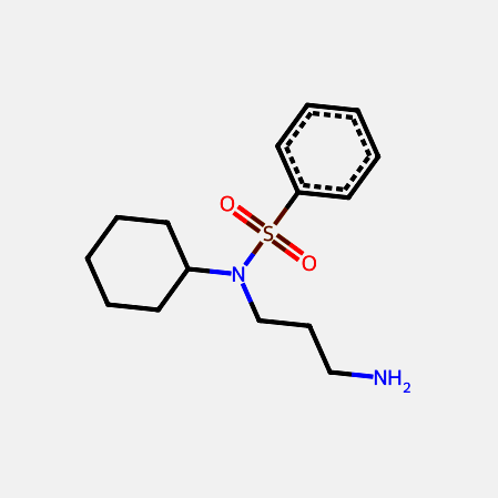 NCCCN(C1CCCCC1)S(=O)(=O)c1ccccc1